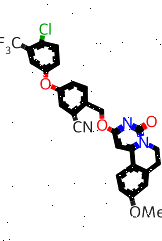 COc1ccc2c(c1)CCn1c-2cc(OCc2ccc(Oc3ccc(Cl)c(C(F)(F)F)c3)cc2C#N)nc1=O